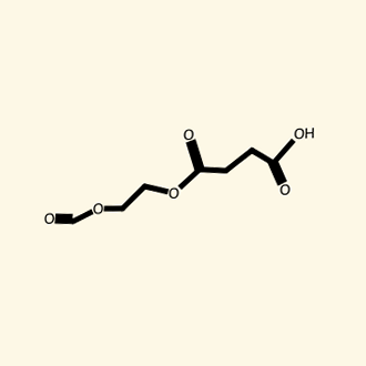 O=COCCOC(=O)CCC(=O)O